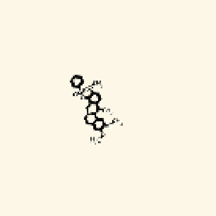 COc1cc2c(cc1OC)C1C(C)c3ccc(OC)c(OS(=O)(=O)c4ccccc4)c3CN1CC2